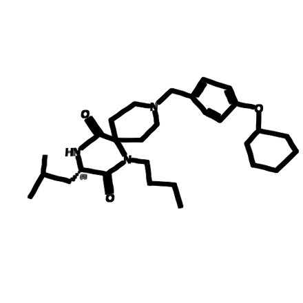 CCCCN1C(=O)[C@H](CC(C)C)NC(=O)C12CCN(Cc1ccc(OC3CCCCC3)cc1)CC2